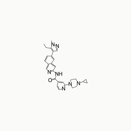 CCc1c(-c2ccc3cnc(NC(=O)c4ccnc(N5CCN(C6CC6)CC5)c4)cc3c2)cnn1C